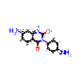 Nc1ccc(-n2c(=O)[nH]c3cc(N)ccc3c2=O)cc1